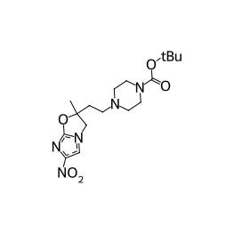 CC(C)(C)OC(=O)N1CCN(CCC2(C)Cn3cc([N+](=O)[O-])nc3O2)CC1